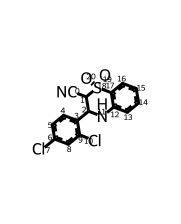 N#CC1C(c2ccc(Cl)cc2Cl)Nc2ccccc2S1(=O)=O